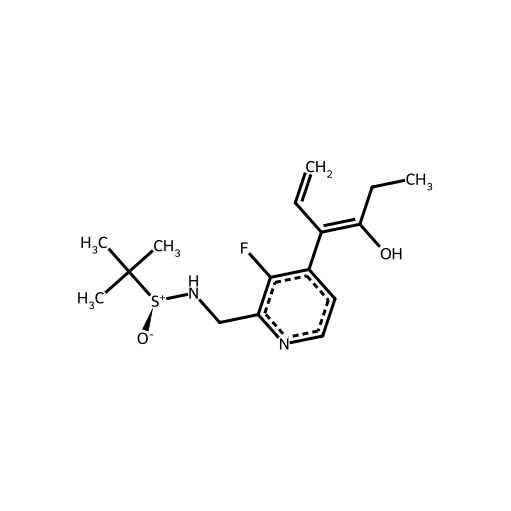 C=C/C(=C(/O)CC)c1ccnc(CN[S@@+]([O-])C(C)(C)C)c1F